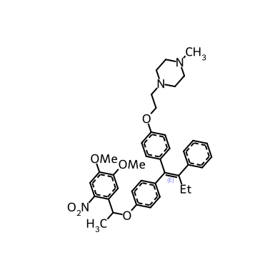 CC/C(=C(/c1ccc(OCCN2CCN(C)CC2)cc1)c1ccc(OC(C)c2cc(OC)c(OC)cc2[N+](=O)[O-])cc1)c1ccccc1